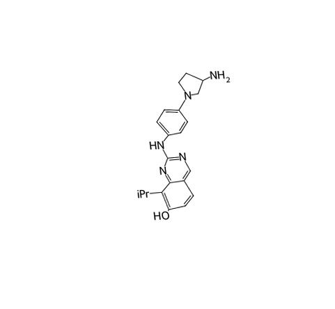 CC(C)c1c(O)ccc2cnc(Nc3ccc(N4CCC(N)C4)cc3)nc12